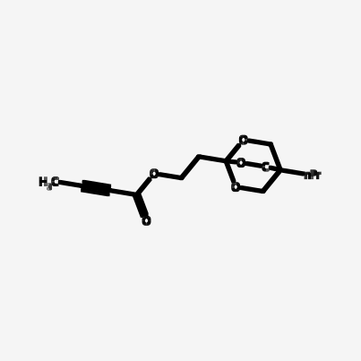 CC#CC(=O)OCCC12OCC(CCC)(CO1)CO2